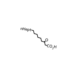 CCCCCCCCCCCCCC(=O)CC(=O)O